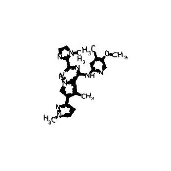 COc1cnc(Nc2nc(-c3nccn3C)nn3cc(-c4ccn(C)n4)c(C)c23)cc1C